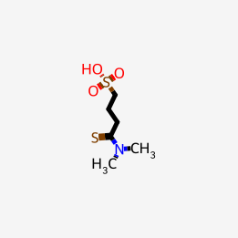 CN(C)C(=S)CCCS(=O)(=O)O